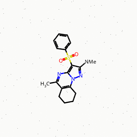 CNc1nn2c3c(c(C)nc2c1S(=O)(=O)c1ccccc1)CCCC3